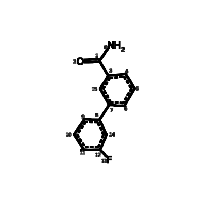 NC(=O)c1cccc(-c2cc[c]c(F)c2)c1